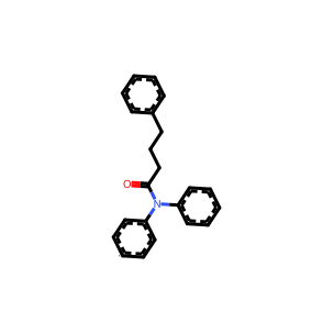 O=C(CCCc1ccccc1)N(c1cc[c]cc1)c1ccccc1